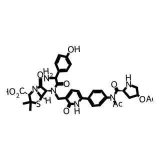 CC(=O)OC1CN[C@H](C(=O)N(C(C)=O)c2ccc(-c3ccc(CN(C(=O)C(N)c4ccc(O)cc4)[C@@H]4C(=O)N5[C@@H]4SC(C)(C)[C@@H]5C(=O)O)c(=O)[nH]3)cc2)C1